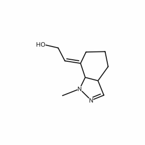 CN1N=CC2CCC/C(=C\CO)C21